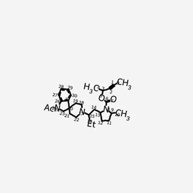 CC#CC(C)OC(=O)N1C(C)CCC1CC(CC)N1CCC2(CC1)CN(C(C)=O)c1ccccc12